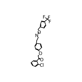 O=C(COc1ccc(CC=NOCc2ccc(C(F)(F)F)cc2)cc1)c1ccccc1Cl